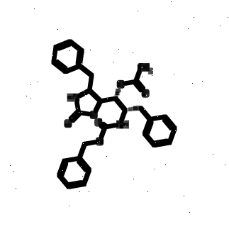 CC(=O)O[C@@H](C1OC(=O)NC1Cc1ccccc1)[C@H](Cc1ccccc1)NC(=O)OCc1ccccc1